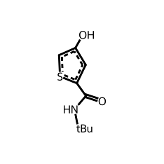 CC(C)(C)NC(=O)c1cc(O)cs1